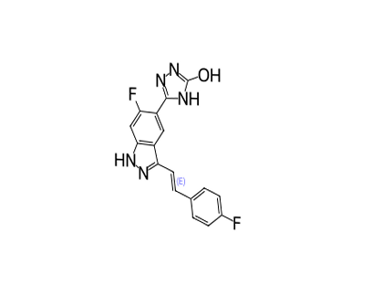 Oc1nnc(-c2cc3c(/C=C/c4ccc(F)cc4)n[nH]c3cc2F)[nH]1